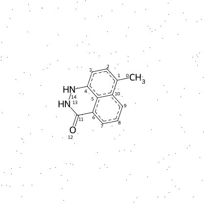 Cc1ccc2c3c(cccc13)C(=O)NN2